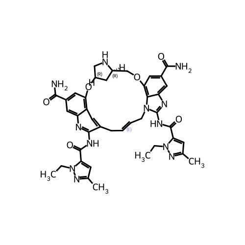 CCn1nc(C)cc1C(=O)Nc1nc2cc(C(N)=O)cc3c2cc1C/C=C/Cn1c(NC(=O)c2cc(C)nn2CC)nc2cc(C(N)=O)cc(c21)OC[C@H]1C[C@H](CN1)O3